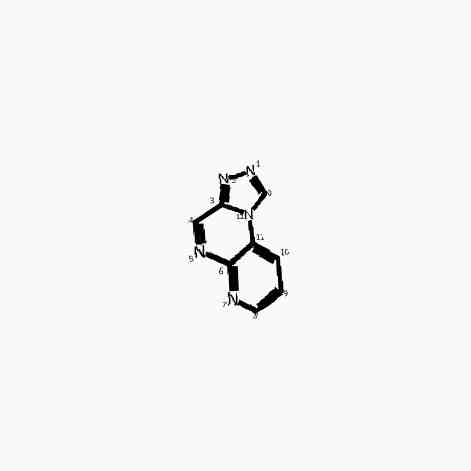 [c]1nnc2cnc3ncccc3n12